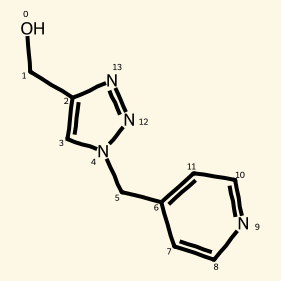 OCc1cn(Cc2ccncc2)nn1